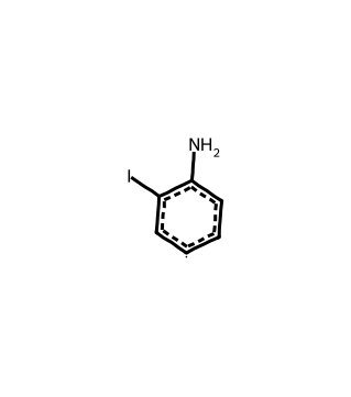 Nc1cc[c]cc1I